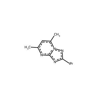 Cc1cc(C)n2nc(C(C)C)nc2n1